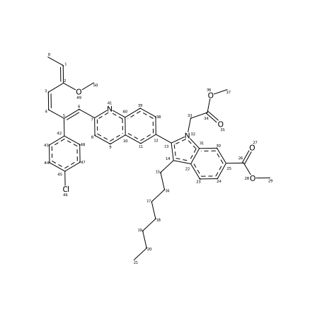 C\C=C(/C=C\C(=C\c1ccc2cc(-c3c(CCCCCCC)c4ccc(C(=O)OC)cc4n3CC(=O)OC)ccc2n1)c1ccc(Cl)cc1)OC